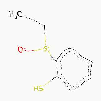 CC[S+]([O-])c1ccccc1S